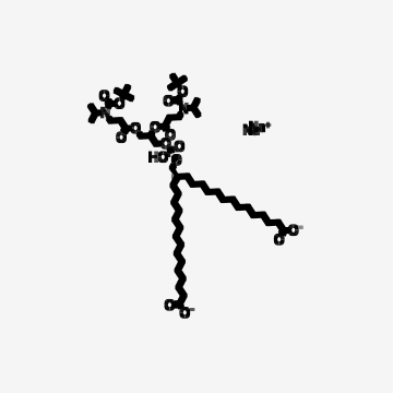 CC(C)N(CCC(=O)OCC(COP(=O)(O)OC[C@H](CCCCCCCCCCCCCCC(=O)[O-])CCCCCCCCCCCCCC(=O)[O-])OC(=O)CCN(C(=O)OC(C)(C)C)C(C)C)C(=O)OC(C)(C)C.[Na+].[Na+]